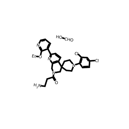 CCOc1ncccc1-c1ccc2c(n1)CN(C(=O)CCN)CC21CCN(c2ccc(Cl)cc2Cl)CC1.O=CO